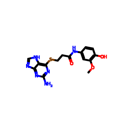 COc1cc(NC(=O)CCSc2nc(N)nc3nc[nH]c23)ccc1O